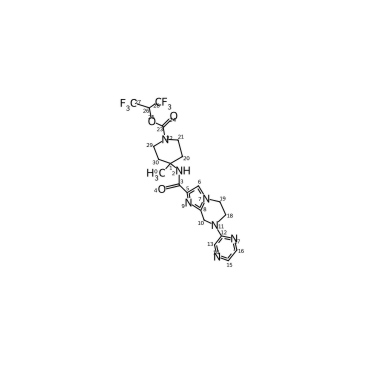 CC1(NC(=O)c2cn3c(n2)CN(c2cnccn2)CC3)CCN(C(=O)OC(C(F)(F)F)C(F)(F)F)CC1